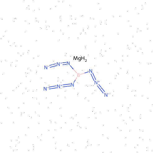 [MgH2].[N-]=[N+]=NB(N=[N+]=[N-])N=[N+]=[N-]